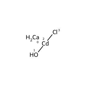 [CaH2].[OH][Cd][Cl]